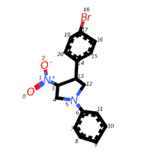 O=[N+]([O-])C1CN(c2ccccc2)CC1c1ccc(Br)cc1